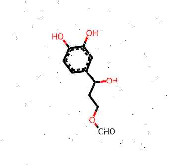 O=COCCC(O)c1ccc(O)c(O)c1